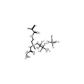 C=C(C)C(=O)OCC[N+](C)(CC(=O)OC(C)(C)C)CC(F)(F)C(F)(F)C(F)(F)F.F[B-](F)(F)F